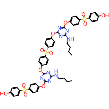 CCCCNc1nc(Oc2ccc(S(=O)(=O)c3ccc(O)cc3)cc2)nc(Oc2ccc(S(=O)(=O)c3ccc(Oc4nc(NCCCC)nc(Oc5ccc(S(=O)(=O)c6ccc(O)cc6)cc5)n4)cc3)cc2)n1